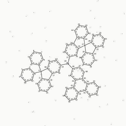 c1ccc(C2(c3ccccc3)c3ccccc3-c3cc(N(c4ccc5c(c4)C4(c6ccccc6-c6ccccc64)c4ccccc4-5)c4ccc5c6ccccc6c6ccccc6c5c4)ccc32)cc1